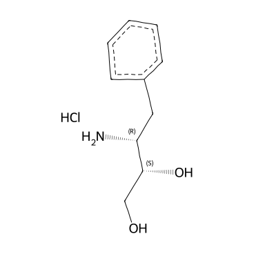 Cl.N[C@H](Cc1ccccc1)[C@H](O)CO